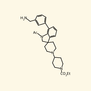 CCOC(=O)N1CCC(N2CCC3(CC2)CN(C(C)=O)c2c(-c4cccc(CN)c4)cccc23)CC1